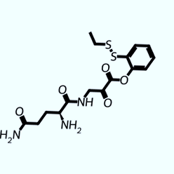 CCSSc1ccccc1OC(=O)C(=O)CNC(=O)[C@@H](N)CCC(N)=O